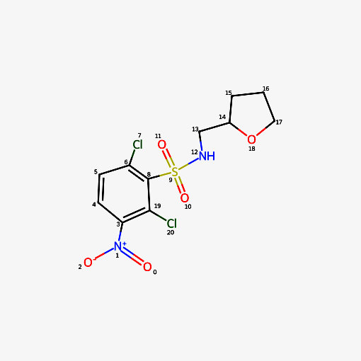 O=[N+]([O-])c1ccc(Cl)c(S(=O)(=O)NCC2CCCO2)c1Cl